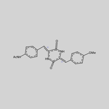 COc1ccc(/C=c2\[nH]c(=O)/c(=C/c3ccc(NC(C)=O)cc3)[nH]c2=O)cc1